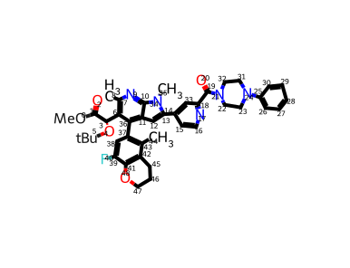 COC(=O)[C@@H](OC(C)(C)C)c1c(C)nc2c(cc(-c3ccnc(C(=O)N4CCN(c5ccccc5)CC4)c3)n2C)c1-c1cc(F)c2c(c1C)CCCO2